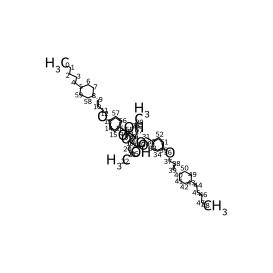 CCCCC[C@H]1CC[C@H](C=CCOc2ccc(CO[C@@](CCC)(C(=O)O)[C@@](CCC)(OCc3ccc(OCC=C[C@H]4CC[C@H](CCCCC)CC4)cc3)C(=O)O)cc2)CC1